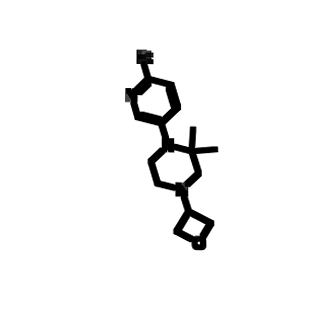 CCc1ccc(N2CCN(C3COC3)CC2(C)C)cn1